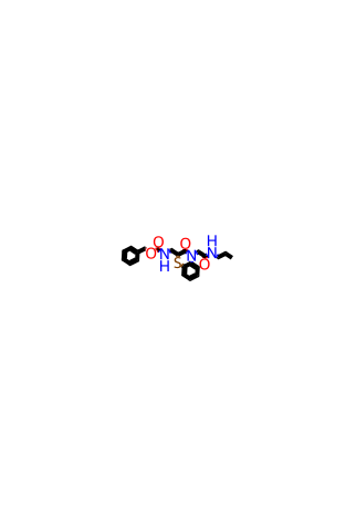 CCCNC(=O)CN1C(=O)C(CNC(=O)OCc2ccccc2)Sc2ccccc21